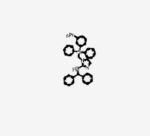 CCCc1cccc([Si](Cn2ccnc2BC(c2ccccc2)c2ccccc2)(c2ccccc2)c2ccccc2)c1